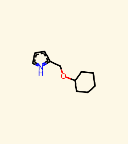 c1c[nH]c(COC2CCCCC2)c1